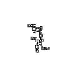 COCCOC(Cc1ccc(Cl)cc1)NC(=O)c1ccc(Oc2cc3c(cc2Cl)C(C(=O)[O-])CCO3)cc1.[Na+]